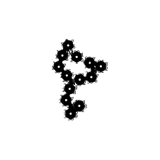 c1ccc(-n2c3ccccc3c3ccc(-c4cccc(-c5ccc(N(c6ccc(-c7cccc(-n8c9ccccc9c9ccccc98)c7)cc6)c6ccc(-c7cccc(-n8c9ccccc9c9ccccc98)c7)cc6)cc5)c4)cc32)cc1